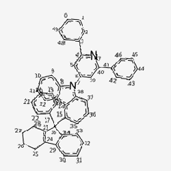 c1ccc(-c2cc(-n3c4ccccc4c4c(C5(c6ccccc6)C6=C(CCCC6)c6ccccc65)cccc43)cc(-c3ccccc3)n2)cc1